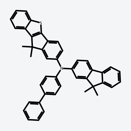 CC1(C)c2ccccc2-c2ccc(N(c3ccc(-c4ccccc4)cc3)c3ccc4c(c3)C(C)(C)c3c-4sc4ccccc34)cc21